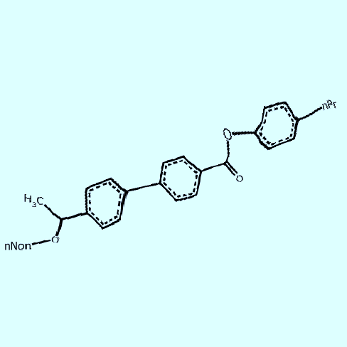 CCCCCCCCCOC(C)c1ccc(-c2ccc(C(=O)Oc3ccc(CCC)cc3)cc2)cc1